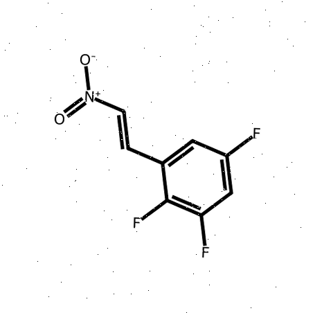 O=[N+]([O-])C=Cc1cc(F)cc(F)c1F